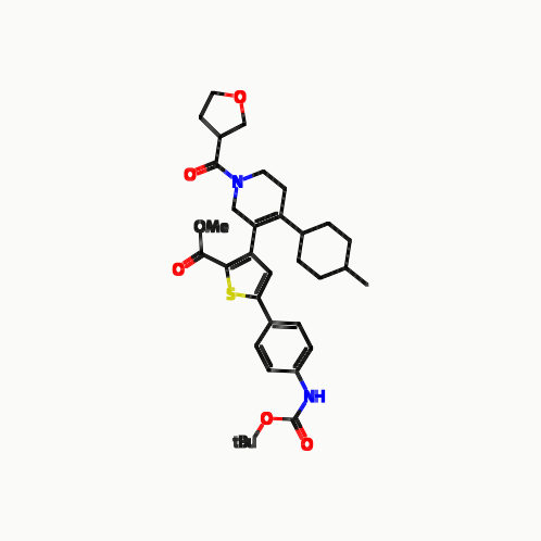 COC(=O)c1sc(-c2ccc(NC(=O)OC(C)(C)C)cc2)cc1C1=C(C2CCC(C)CC2)CCN(C(=O)C2CCOC2)C1